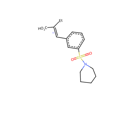 CC/C(=C\c1cccc(S(=O)(=O)N2CCCCC2)c1)C(=O)O